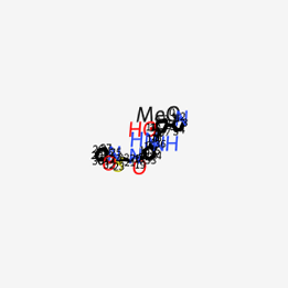 COc1ncccc1-c1ccc(O)c(-c2nc3cc(C(=O)NCCSc4nc5ccccc5o4)ccc3[nH]2)c1